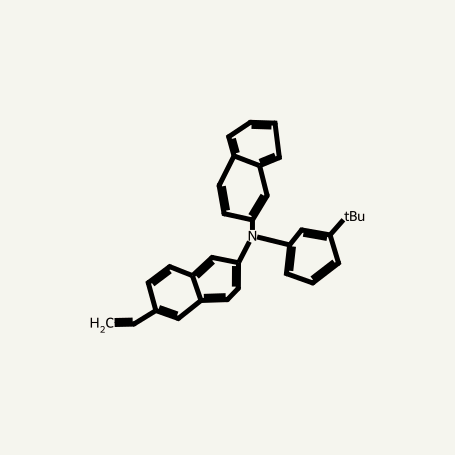 C=Cc1ccc2cc(N(c3cccc(C(C)(C)C)c3)c3ccc4ccccc4c3)ccc2c1